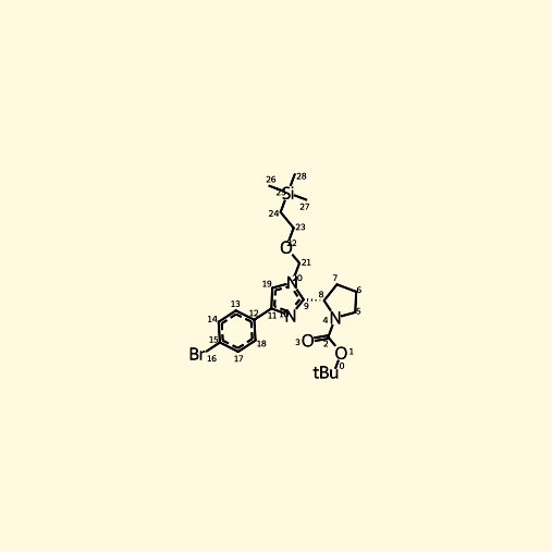 CC(C)(C)OC(=O)N1CCC[C@H]1c1nc(-c2ccc(Br)cc2)cn1COCC[Si](C)(C)C